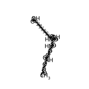 CCC(=O)COCCOCCNC(=O)COCCOCCNC(=O)CC[C@H](NC(=O)CCCCCCCCCCCCCCC(=O)O)C(=O)O